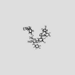 CCn1cc(CNC[C@H](O)[C@H](Cc2ccccc2)NC(=O)c2cc(C)cc(C(=O)N3CCC[C@@H]3c3nc(C)cs3)c2)cn1